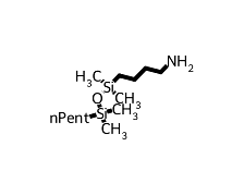 CCCCC[Si](C)(C)O[Si](C)(C)CCCCN